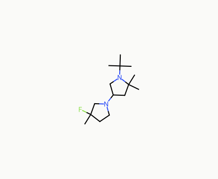 CC1(F)CCN(C2CN(C(C)(C)C)C(C)(C)C2)C1